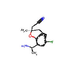 C[C@@H](N)c1cc(F)cc2c1O[C@@](C)(CC#N)C2